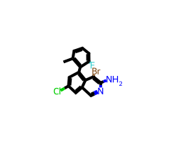 Cc1cccc(F)c1-c1cc(Cl)cc2cnc(N)c(Br)c12